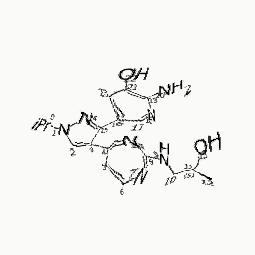 CC(C)n1cc(-c2ccnc(NC[C@H](C)O)n2)c(-c2cnc(N)c(O)c2)n1